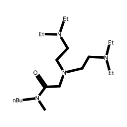 CCCCN(C)C(=O)CN(CCN(CC)CC)CCN(CC)CC